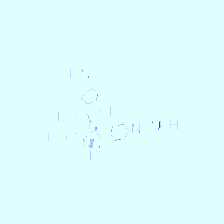 C=Cc1[nH]nc(-c2ccc(N3CCN(C)CC3)cc2)c1/N=C(\C)c1c(C)cc(C2CCCCN2)cc1F